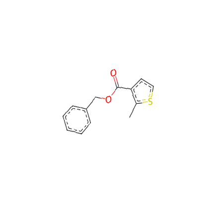 Cc1sccc1C(=O)OCc1ccccc1